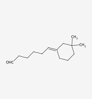 CC1(C)CCC/C(=C\CCCCC=O)C1